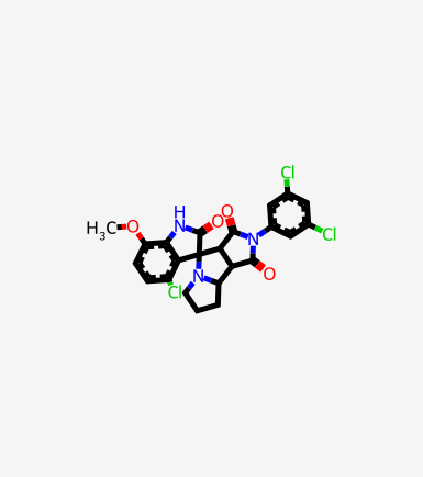 COc1ccc(Cl)c2c1NC(=O)C21C2C(=O)N(c3cc(Cl)cc(Cl)c3)C(=O)C2C2CCCN21